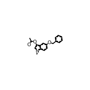 CC(=O)Oc1cn(C)c2ccc(OCc3ccccc3)cc12